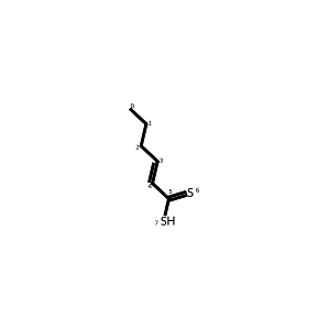 CCC/C=C/C(=S)S